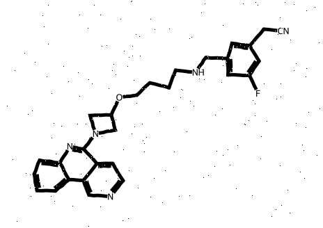 N#CCc1cc(F)cc(CNCCCCOC2CN(c3nc4ccccc4c4cnccc34)C2)c1